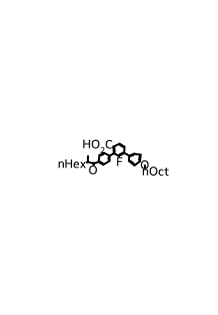 CCCCCCCCOc1ccc(-c2ccc(C(=O)O)c(-c3ccc(C(=O)C(C)CCCCCC)cc3)c2F)cc1